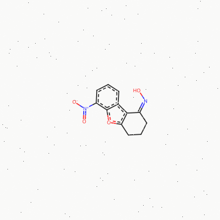 O=[N+]([O-])c1cccc2c3c(oc12)CCC/C3=N/O